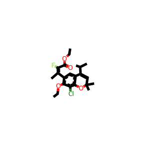 CCOC(=O)/C(F)=C(/C)c1cc2c(c(Cl)c1OCC)OC(C)(C)C=C2C(C)C